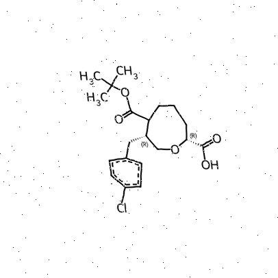 CC(C)(C)OC(=O)C1CCC[C@H](C(=O)O)OC[C@@H]1Cc1ccc(Cl)cc1